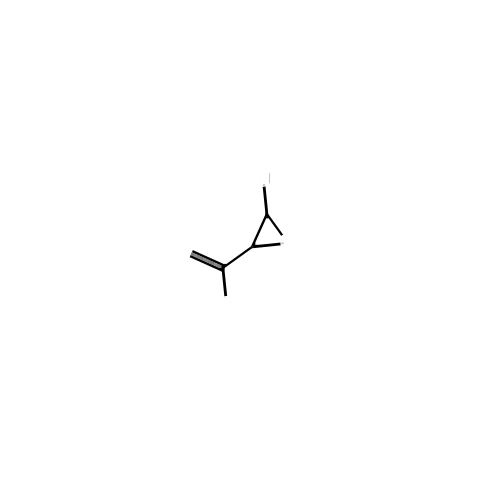 C=C(Cl)C1OC1Cl